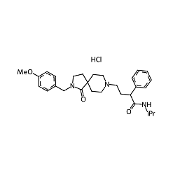 COc1ccc(CN2CCC3(CCN(CCC(C(=O)NC(C)C)c4ccccc4)CC3)C2=O)cc1.Cl